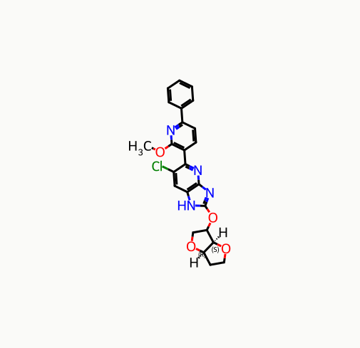 COc1nc(-c2ccccc2)ccc1-c1nc2nc(OC3CO[C@@H]4CCO[C@H]34)[nH]c2cc1Cl